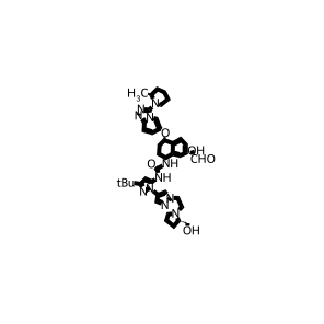 C[C@H]1CCCCN1c1nnc2ccc(O[C@@H]3CC[C@H](NC(=O)Nc4cc(C(C)(C)C)nn4-c4cnn(CCN5CCC[C@H]5CO)c4)c4ccccc43)cn12.O=CO